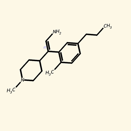 CCCc1ccc(C)c(/C(=C\N)C2CCN(C)CC2)c1